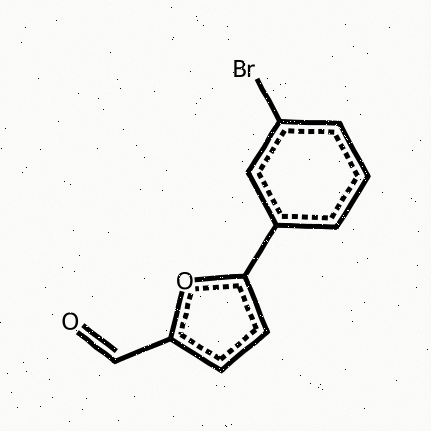 O=Cc1ccc(-c2cccc(Br)c2)o1